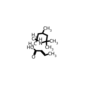 CC1CC(C)(C)NC(C)(C)C1.CC=CC(=O)O